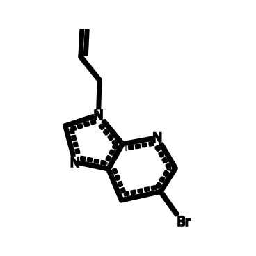 C=CCn1cnc2cc(Br)cnc21